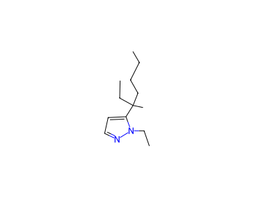 CCCCC(C)(CC)c1ccnn1CC